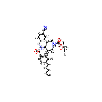 CCCCCc1ccc(C(=O)N(Cc2ccc(C#N)cc2)C2CCN(C(=O)OC(C)(C)C)CC2)cc1